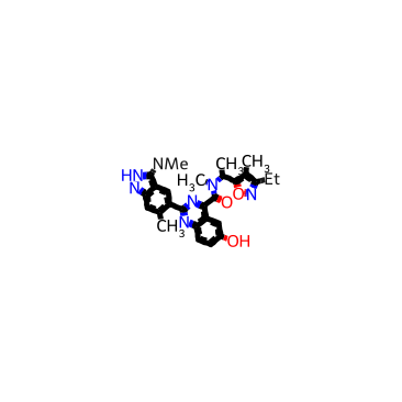 CCc1noc(C(C)N(C)C(=O)c2nc(-c3cc4c(NC)[nH]nc4cc3C)nc3ccc(O)cc23)c1C